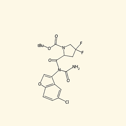 CC(C)(C)OC(=O)N1CC(F)(F)CC1C(=O)N(C(N)=O)c1coc2ccc(Cl)cc12